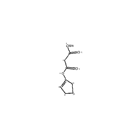 COC(=O)CC(=O)OC1=CCCC1